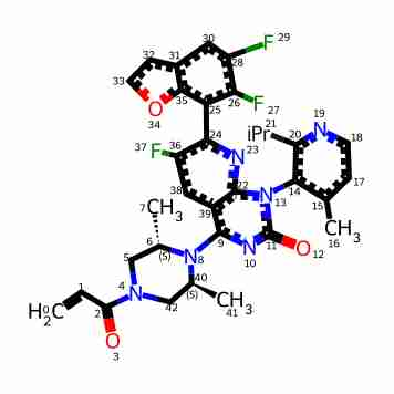 C=CC(=O)N1C[C@H](C)N(c2nc(=O)n(-c3c(C)ccnc3C(C)C)c3nc(-c4c(F)c(F)cc5ccoc45)c(F)cc23)[C@@H](C)C1